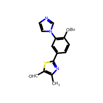 Cc1nc(-c2ccc(OCC(C)C)c(-n3ccnc3)c2)sc1[C]=O